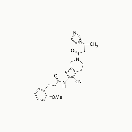 COc1ccccc1CCC(=O)Nc1sc2c(c1C#N)CCN(C(=O)CC(C)n1ccnc1)C2